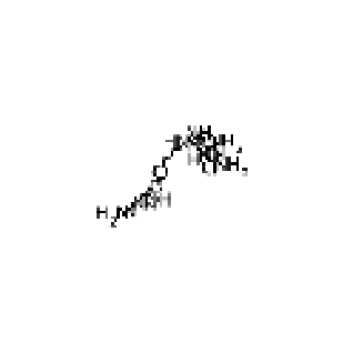 N=C(NCCCCC1CCC(OCC(O)CNC=NN)CC1)NC(=O)c1nc(Cl)c(N)nc1N